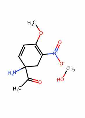 CO.COC1=C([N+](=O)[O-])CC(N)(C(C)=O)C=C1